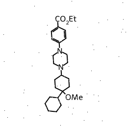 CCOC(=O)c1ccc(N2CCN(C3CCC(OC)(C4CCCCC4)CC3)CC2)cc1